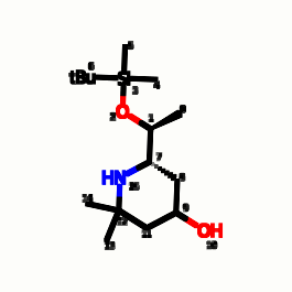 C[C@H](O[Si](C)(C)C(C)(C)C)[C@@H]1CC(O)CC(C)(C)N1